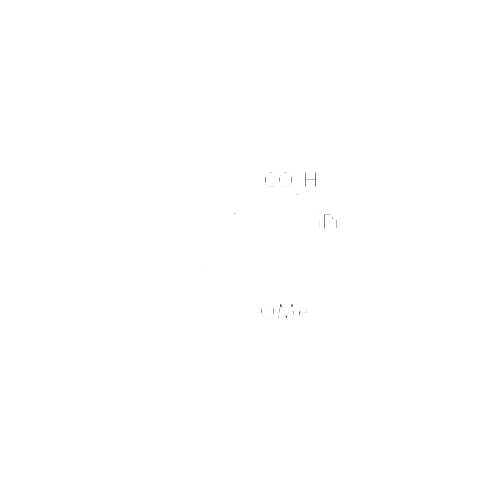 COC(C(C)C)C1(C(=O)O)CCCC1